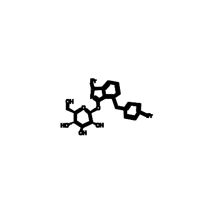 CC(C)c1ccc(Cc2cccc3c2c(O[C@@H]2O[C@H](CO)[C@@H](O)[C@H](O)[C@H]2O)nn3C(C)C)cc1